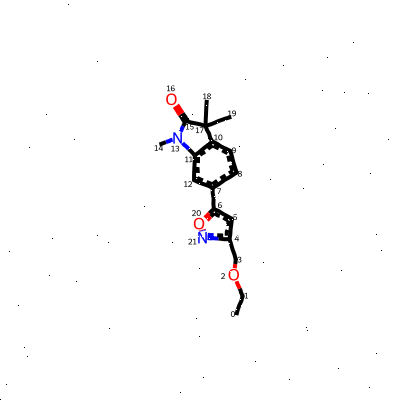 CCOCc1cc(-c2ccc3c(c2)N(C)C(=O)C3(C)C)on1